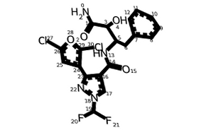 NC(=O)C(O)C(Cc1ccccc1)NC(=O)c1cn(C(F)F)nc1-c1cc(Cl)oc1Cl